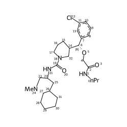 CCCNC(=O)CO[C@@H](c1cccc(Cl)c1)C1CCCN(C(=O)NC(CNC)CC2CCCCC2)C1